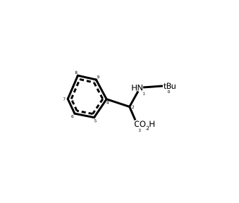 CC(C)(C)NC(C(=O)O)c1ccccc1